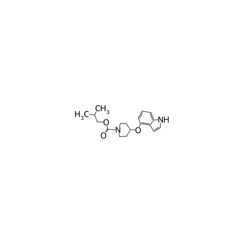 CC(C)COC(=O)N1CCC(Oc2cccc3[nH]ccc23)CC1